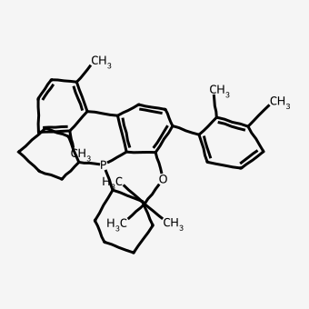 Cc1cccc(-c2ccc(-c3c(C)cccc3C)c(P(C3CCCCC3)C3CCCCC3)c2OC(C)(C)C)c1C